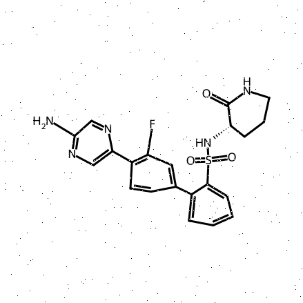 Nc1cnc(-c2ccc(-c3ccccc3S(=O)(=O)N[C@H]3CCCNC3=O)cc2F)cn1